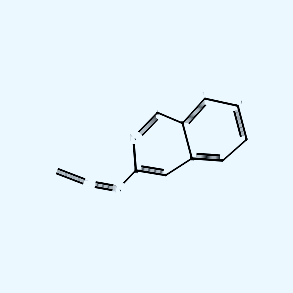 O=C=Nc1cc2ccccc2cn1